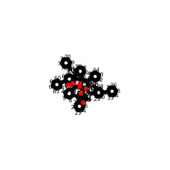 C1=c2oc3cccc(-c4ccccc4)c3c2=C(C2=NC(c3ccccc3)=NC(c3ccc(-c4ccccc4)cc3-n3c4ccccc4c4c(-c5cccc6c5c5ccc(-c7ccccc7)cc5n6-c5ccccc5)cccc43)N2)CC1